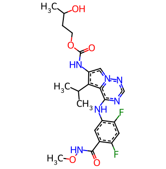 CONC(=O)c1cc(Nc2ncnn3cc(NC(=O)OCCC(C)O)c(C(C)C)c23)c(F)cc1F